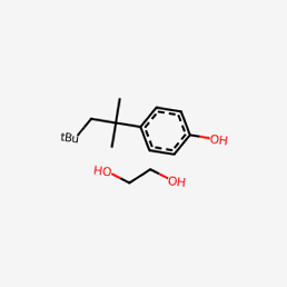 CC(C)(C)CC(C)(C)c1ccc(O)cc1.OCCO